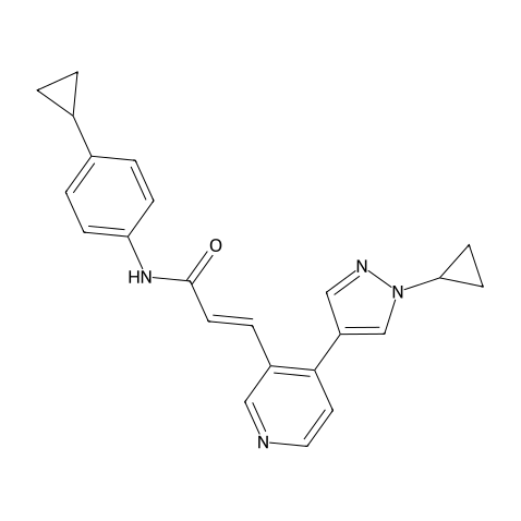 O=C(/C=C/c1cnccc1-c1cnn(C2CC2)c1)Nc1ccc(C2CC2)cc1